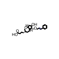 O=C(O)CCC[C@H]1CC[C@@H]2[C@@H](COC/C=C/c3ccccc3)[C@H](O)C[C@@H]2OC1